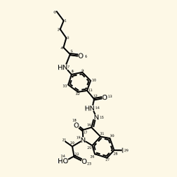 CCCCCC(=O)Nc1ccc(C(=O)NN=C2C(=O)N(C(C)C(=O)O)c3ccc(I)cc32)cc1